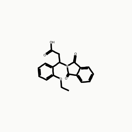 CCOc1ccccc1C(CC(=O)O)N1C(=O)c2ccccc2C1=O